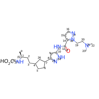 C[C@@H](CCC1CCC(c2cc(NC(=O)c3ccnn3CCN(C)C)[nH]n2)C1)NC(=O)O